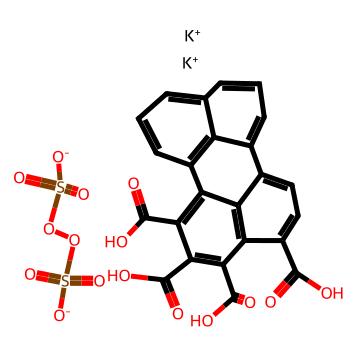 O=C(O)c1c(C(=O)O)c2c(C(=O)O)ccc3c4cccc5cccc(c(c1C(=O)O)c23)c54.O=S(=O)([O-])OOS(=O)(=O)[O-].[K+].[K+]